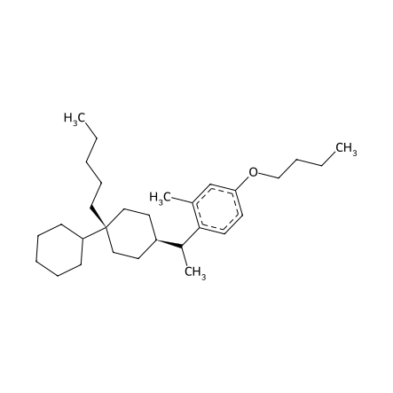 CCCCC[C@]1(C2CCCCC2)CC[C@H](C(C)c2ccc(OCCCC)cc2C)CC1